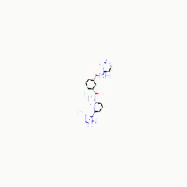 CC(C)n1cnnc1-c1cccc(NC(=O)c2cc(C(=O)Nc3ccncn3)ccc2F)n1